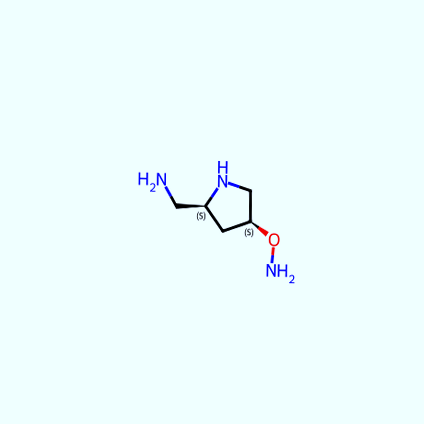 NC[C@@H]1C[C@H](ON)CN1